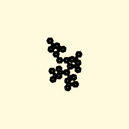 c1ccc(-n2c3ccccc3c3c2ccc2c4ccccc4n(-c4cccc(-c5cccc(-c6cccc(-c7cc(-c8cc(-n9c%10ccccc%10c%10c9ccc9c%11ccccc%11n(-c%11ccccc%11)c9%10)cc(-n9c%10ccccc%10c%10c9ccc9c%11ccccc%11n(-c%11ccccc%11)c9%10)c8)cc(-n8c9ccccc9c9ccc%10c(c%11ccccc%11n%10-c%10ccccc%10)c98)c7)c6)c5)c4)c23)cc1